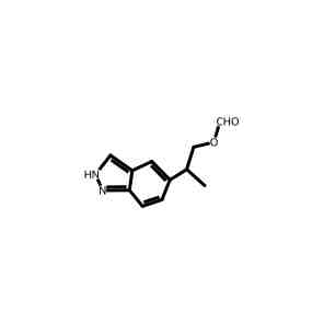 CC(COC=O)c1ccc2n[nH]cc2c1